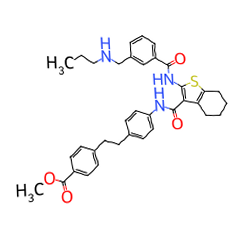 CCCNCc1cccc(C(=O)Nc2sc3c(c2C(=O)Nc2ccc(CCc4ccc(C(=O)OC)cc4)cc2)CCCC3)c1